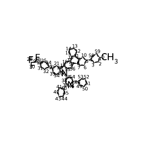 Cc1ccc(-c2ccc3c(c2)c2ccccc2c2cc4c5cc(-c6ccc(C(F)(F)F)cc6)ccc5n(-c5cc(-c6ccccc6)nc(-c6ccccc6)c5)c4cc32)cc1